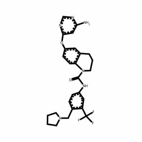 Nc1cc(Oc2ccc3c(c2)CCCN3C(=O)Nc2ccc(CN3CCCC3)c(C(F)(F)F)c2)ncn1